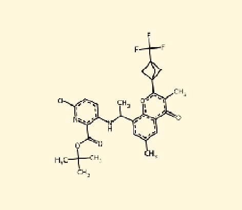 Cc1cc(C(C)Nc2ccc(Cl)nc2C(=O)OC(C)(C)C)c2oc(C34CC(C(F)(F)F)(C3)C4)c(C)c(=O)c2c1